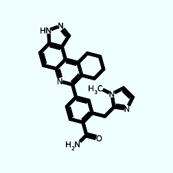 Cn1ccnc1Cc1cc(-c2nc3ccc4[nH]ncc4c3c3c2CCCC3)ccc1C(N)=O